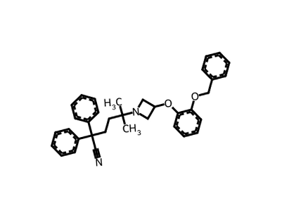 CC(C)(CCC(C#N)(c1ccccc1)c1ccccc1)N1CC(Oc2ccccc2OCc2ccccc2)C1